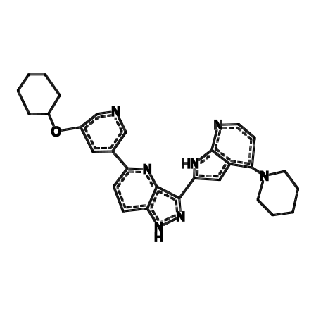 c1cc(N2CCCCC2)c2cc(-c3n[nH]c4ccc(-c5cncc(OC6CCCCC6)c5)nc34)[nH]c2n1